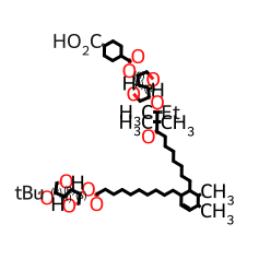 CCC(C)(OC1CO[C@@H]2[C@@H](OC(=O)C3CCC(C(=O)O)CC3)CO[C@H]12)C(C)(C)C(=O)CCCCCCCC1C(CCCCCCCCCC(=O)O[C@H]2CO[C@H]3[C@@H]2OC[C@H]3OC(C)(C)C)C=CC(C)C1C